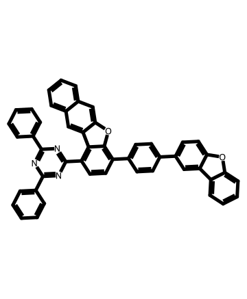 c1ccc(-c2nc(-c3ccccc3)nc(-c3ccc(-c4ccc(-c5ccc6oc7ccccc7c6c5)cc4)c4oc5cc6ccccc6cc5c34)n2)cc1